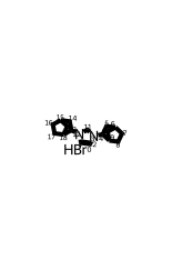 Br.C1=CN(C2CC3CCC2C3)CN1C1CC2CCC1C2